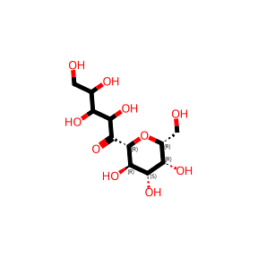 O=C(C(O)C(O)C(O)CO)[C@@H]1O[C@H](CO)[C@H](O)[C@H](O)[C@H]1O